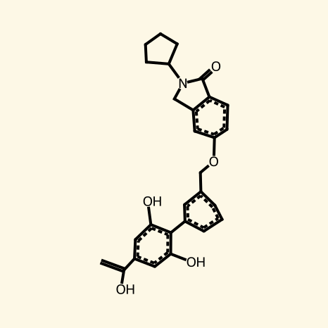 C=C(O)c1cc(O)c(-c2cccc(COc3ccc4c(c3)CN(C3CCCC3)C4=O)c2)c(O)c1